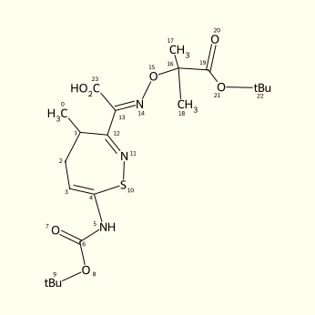 CC1CC=C(NC(=O)OC(C)(C)C)SN=C1/C(=N/OC(C)(C)C(=O)OC(C)(C)C)C(=O)O